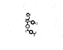 O=C(c1ccc(C(F)F)cc1)N1CCC(c2nnc(Cn3nccn3)n2-c2ccc(Cl)cc2)CC1